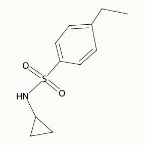 CCc1ccc(S(=O)(=O)NC2CC2)cc1